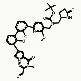 COc1nc(-c2cccc(-c3cccc(-c4cc5c(=O)n(C)c(C=O)nn5c4)c3Cl)c2Cl)ccc1CN(CC1CCC(=O)N1)C(=O)OC(C)(C)C